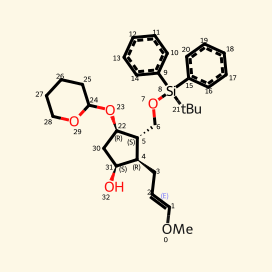 CO/C=C/C[C@@H]1[C@@H](CO[Si](c2ccccc2)(c2ccccc2)C(C)(C)C)[C@H](OC2CCCCO2)C[C@@H]1O